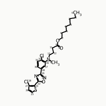 CCCCCCCCOC(=O)CCCN(C)c1cc(-c2noc(-c3sccc3Cl)n2)ccc1Cl